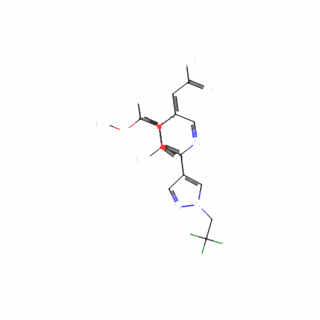 C=C(C)/C=C(\C=N/C(=C\C(C)C)c1cnn(CC(F)(F)F)c1)C(/C(=C)C)=C(\C)OC